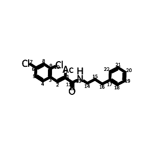 CC(=O)C(=Cc1ccc(Cl)cc1Cl)C(=O)NCCCc1ccccc1